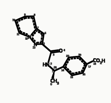 C[C@@H](NC(=O)c1cc2ccccn2n1)c1ccc(C(=O)O)cc1